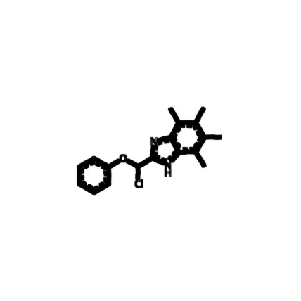 Cc1c(C)c(C)c2[nH]c(C(Cl)Oc3ccccc3)nc2c1C